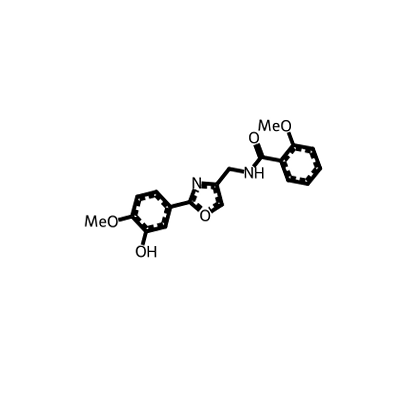 COc1ccc(-c2nc(CNC(=O)c3ccccc3OC)co2)cc1O